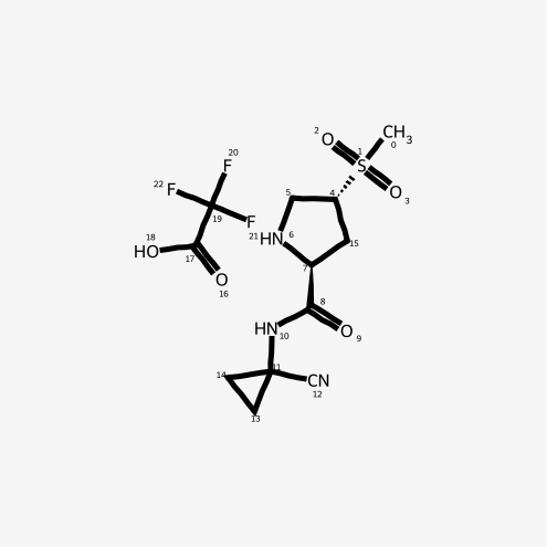 CS(=O)(=O)[C@H]1CN[C@H](C(=O)NC2(C#N)CC2)C1.O=C(O)C(F)(F)F